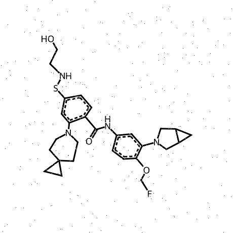 O=C(Nc1ccc(OCF)c(N2CC3CC3C2)c1)c1ccc(SNCCO)cc1N1CCC2(CC1)CC2